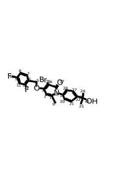 Cc1cc(OCc2ccc(F)cc2F)c(Br)c(=O)n1-c1ccc(C(C)(C)O)cc1